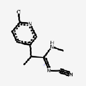 CN/C(=N\C#N)C(C)c1ccc(Cl)nc1